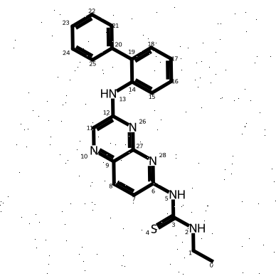 CCNC(=S)Nc1ccc2ncc(Nc3ccccc3-c3ccccc3)nc2n1